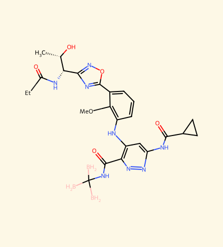 BC(B)(B)NC(=O)c1nnc(NC(=O)C2CC2)cc1Nc1cccc(-c2nc([C@H](NC(=O)CC)[C@H](C)O)no2)c1OC